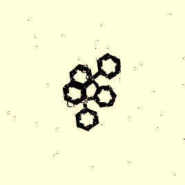 Cl[Si](c1ccccc1)(c1ccccc1)c1ccccc1[Si](Cl)(c1ccccc1)c1ccccc1